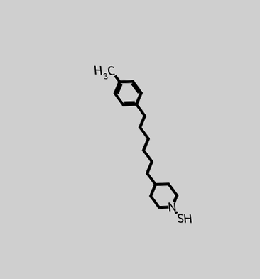 Cc1ccc(CCCCCCC2CCN(S)CC2)cc1